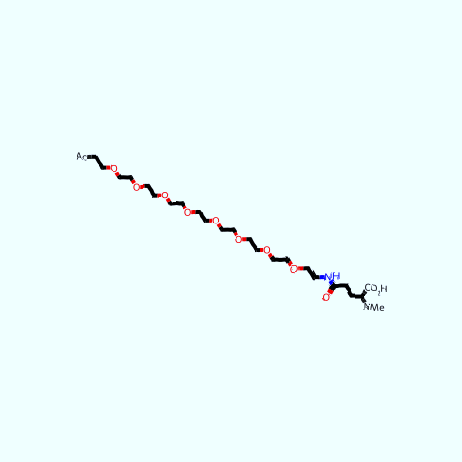 CNC(CCC(=O)NCCOCCOCCOCCOCCOCCOCCOCCOCCC(C)=O)C(=O)O